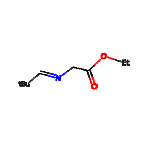 CCOC(=O)C/N=C/C(C)(C)C